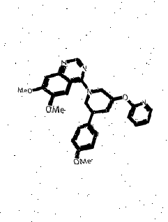 COc1ccc(C2CC(Oc3ccccn3)CN(c3ncnc4cc(OC)c(OC)cc34)C2)cc1